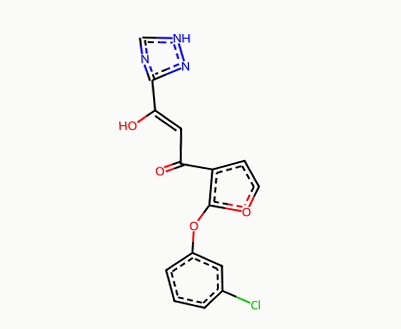 O=C(C=C(O)c1nc[nH]n1)c1ccoc1Oc1cccc(Cl)c1